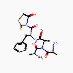 CC(N)C(=O)N(C(=O)C(C)N)C(C)C(=O)NC(Cc1ccccc1)C(=O)N1C(=O)CSC1=S